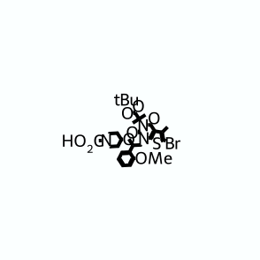 COc1ccccc1C(Cn1c(=O)n(C(C)(C)C(=O)OC(C)(C)C)c(=O)c2c(C)c(Br)sc21)OC1CCN(C(=O)O)CC1